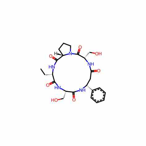 CC[C@@H]1NC(=O)[C@@H]2CCCN2C(=O)[C@H](CO)NC(=O)C[C@H](c2ccccc2)NC(=O)[C@H](CO)NC1=O